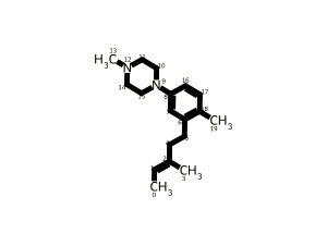 C/C=C(\C)CCc1cc(N2CCN(C)CC2)ccc1C